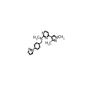 Cc1nn(C)cc1-c1ccnc(N(C)Cc2ccc(-n3cccn3)cc2)n1